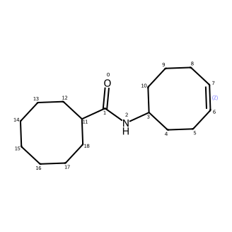 O=C(NC1CC/C=C\CCC1)C1CCCCCCC1